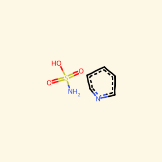 NS(=O)(=O)O.c1ccncc1